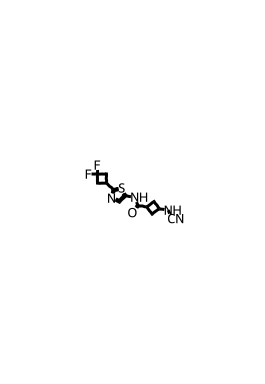 N#CNC1CC(C(=O)Nc2cnc(C3CC(F)(F)C3)s2)C1